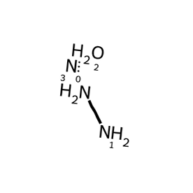 NN.O.[N]